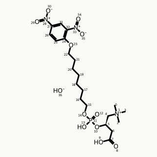 C[N+](C)(C)C[C@@H](CC(=O)O)OP(=O)(O)OCCCCCCCCOc1ccc([N+](=O)[O-])cc1[N+](=O)[O-].[OH-]